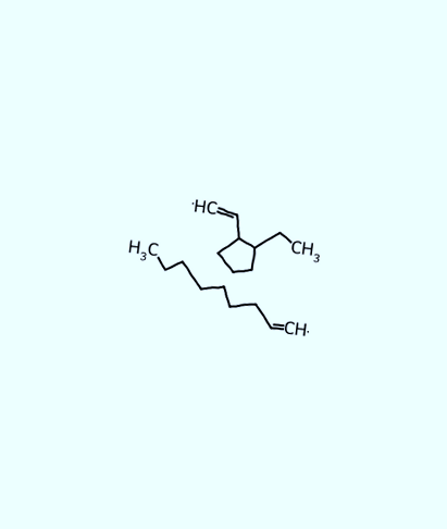 [CH]=CC1CCCC1CC.[CH]=CCCCCCCC